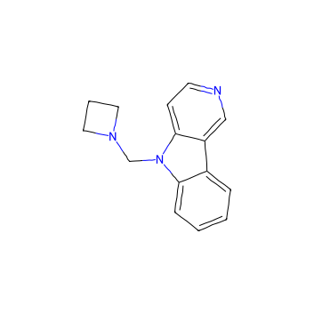 c1ccc2c(c1)c1cnccc1n2CN1CCC1